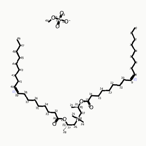 CCCCCCCC/C=C\CCCCCCCC(=O)O[C@H](C)C[N+](C)(C)C[C@H](C)OC(=O)CCCCCCC/C=C\CCCCCCCC.COS(=O)(=O)[O-]